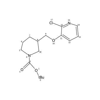 CC(C)(C)OC(=O)N1CCCC(COc2cccnc2Cl)C1